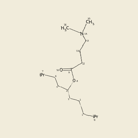 CC(C)CCCC(CCC(C)C)OC(=O)CCCN(C)C